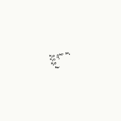 O.O.O.O.[Na+].[OH-].[SiH4]